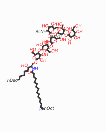 CCCCCCCC/C=C\CCCCCCCCCCCCCC(=O)N[C@@H](CO[C@@H]1OC(CO)[C@@H](O[C@@H]2OC(CO)[C@H](O[C@@H]3OC(CO)[C@H](O[C@@H]4OC(CO)[C@H](O)[C@H](O[C@@H]5OC(CO)[C@H](O)[C@H](O)C5O)C4NC(C)=O)[C@H](O[C@@H]4OC(CO)[C@H](O)[C@H](O)C4NC(C)=O)C3O)[C@H](O)C2O)[C@H](O)C1O)[C@H](O)/C=C/CCCCCCCCCCCCC